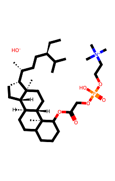 CC[C@H](CC[C@@H](C)[C@H]1CC[C@H]2[C@@H]3CCC4CCCC(OC(=O)COP(=O)(O)OCC[N+](C)(C)C)[C@]4(C)[C@H]3CC[C@]12C)C(C)C.[OH-]